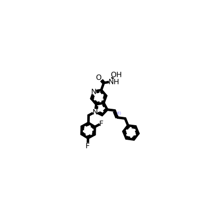 O=C(NO)c1cc2c(/C=C/Cc3ccccc3)cn(Cc3ccc(F)cc3F)c2cn1